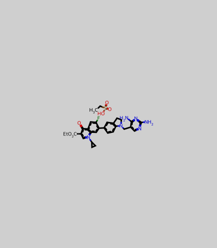 CCOC(=O)c1cn(C2CC2)c2cc(-c3ccc4c(c3)CCN4Cc3cnc(N)nc3N)c(F)cc2c1=O.CCS(=O)(=O)O